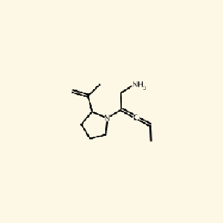 C=C(C)C1CCCN1C(=C=CC)CN